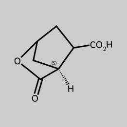 O=C(O)C1CC2C[C@@H]1C(=O)O2